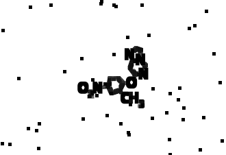 Cc1cc([N+](=O)[O-])ccc1Oc1cc2nccn2cn1